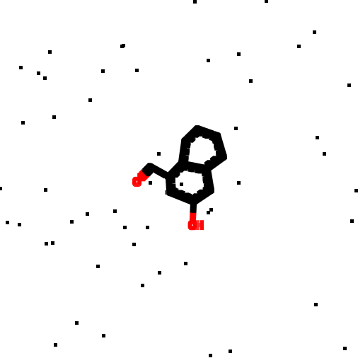 O=Cc1[c]c(O)cc2ccccc12